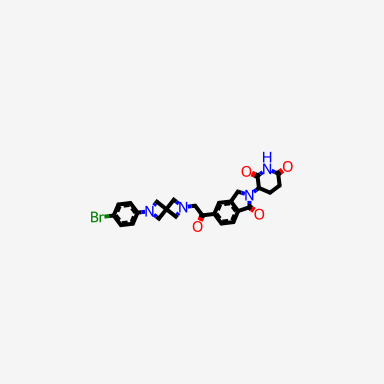 O=C1CCC(N2Cc3cc(C(=O)CN4CC5(C4)CN(c4ccc(Br)cc4)C5)ccc3C2=O)C(=O)N1